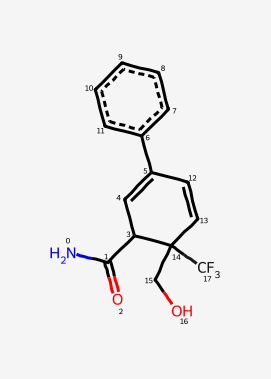 NC(=O)C1C=C(c2ccccc2)C=CC1(CO)C(F)(F)F